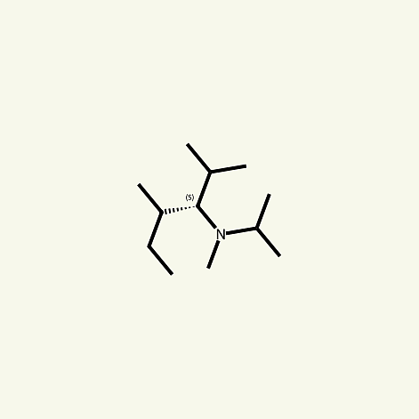 CCC(C)[C@H](C(C)C)N(C)C(C)C